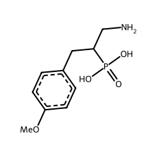 COc1ccc(CC(CN)P(=O)(O)O)cc1